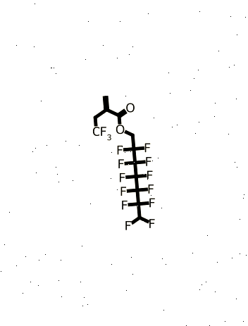 C=C(CC(F)(F)F)C(=O)OCC(F)(F)C(F)(F)C(F)(F)C(F)(F)C(F)(F)C(F)F